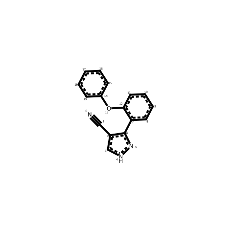 N#Cc1c[nH]nc1-c1ccccc1Oc1ccccc1